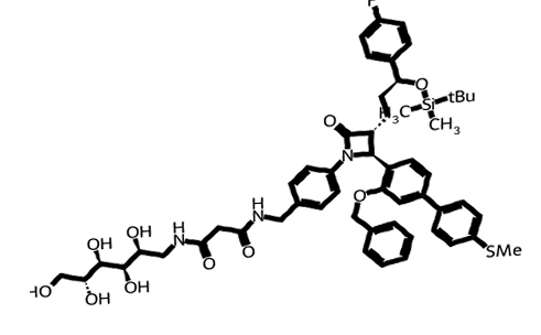 CSc1ccc(-c2ccc([C@@H]3[C@@H](CC[C@H](O[Si](C)(C)C(C)(C)C)c4ccc(F)cc4)C(=O)N3c3ccc(CNC(=O)CC(=O)NC[C@H](O)[C@@H](O)[C@H](O)[C@H](O)CO)cc3)c(OCc3ccccc3)c2)cc1